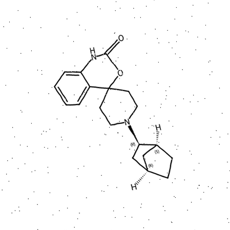 O=C1Nc2ccccc2C2(CCN([C@@H]3C[C@@H]4CC[C@H]3C4)CC2)O1